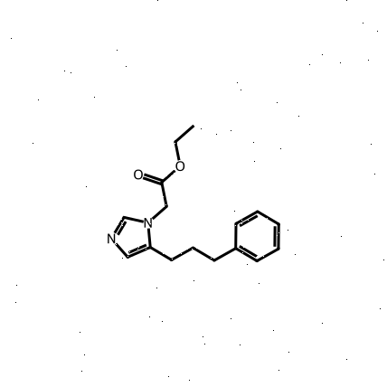 CCOC(=O)Cn1cncc1CCCc1ccccc1